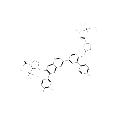 CC(C)(C)OC(=O)N1CCC(Oc2ccc(-c3cnc4cc(OC5CCN(C(=O)O)C5C(C)(C)C)c(-c5ccc(F)c(F)c5)cc4c3)cc2-c2ccc(F)cc2)C1